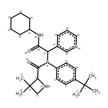 CC(C)(C)c1ccc(N(C(=O)C2NCC2(C)C)C(C(=O)NC2CCCCC2)c2cccnc2)cc1